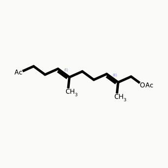 CC(=O)CC/C=C(\C)CC/C=C(\C)COC(C)=O